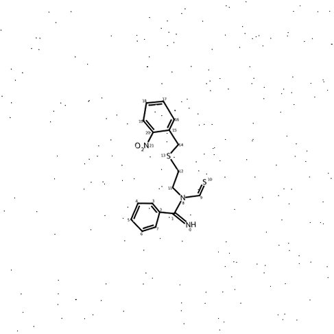 N=C(c1ccccc1)N(C=S)CCSCc1ccccc1[N+](=O)[O-]